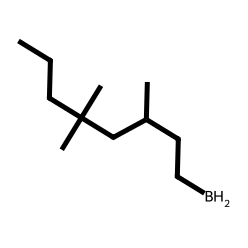 BCCC(C)CC(C)(C)CCC